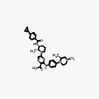 C[C@@H]1[C@H](NC(=O)c2ccc(C3CC3)cc2)CCCN1c1cnc(C(N)=O)c(Nc2ccc(N3CCN(C)C[C@@H]3C)cc2)n1